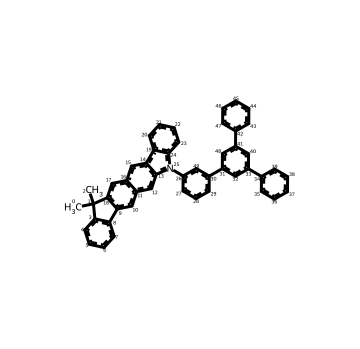 CC1(C)c2ccccc2-c2cc3cc4c(cc3cc21)c1ccccc1n4-c1cccc(-c2cc(-c3ccccc3)cc(-c3ccccc3)c2)c1